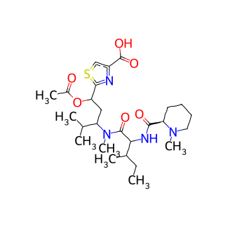 CCC(C)C(NC(=O)[C@H]1CCCCN1C)C(=O)N(C)C(CC(OC(C)=O)c1nc(C(=O)O)cs1)C(C)C